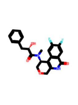 CN(C(=O)[C@@H](O)Cc1ccccc1)[C@@H]1COCc2[nH]c(=O)c3cc(F)c(F)cc3c21